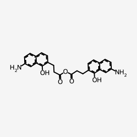 Nc1ccc2ccc(CCC(=O)OC(=O)CCc3ccc4ccc(N)cc4c3O)c(O)c2c1